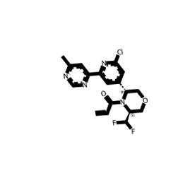 C=CC(=O)N1[C@H](c2cc(Cl)nc(-c3cc(C)ncn3)c2)COC[C@H]1C(F)F